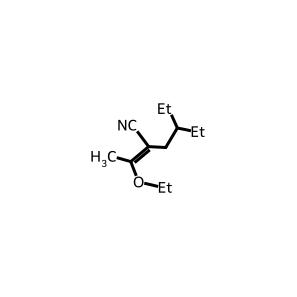 CCOC(C)=C(C#N)CC(CC)CC